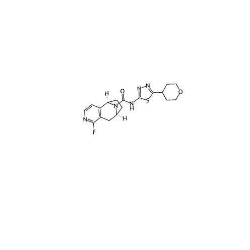 O=C(Nc1nnc(C2CCOCC2)s1)N1[C@H]2CC[C@@H]1c1ccnc(F)c1C2